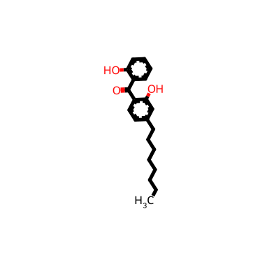 CCCCCCCCc1ccc(C(=O)c2ccccc2O)c(O)c1